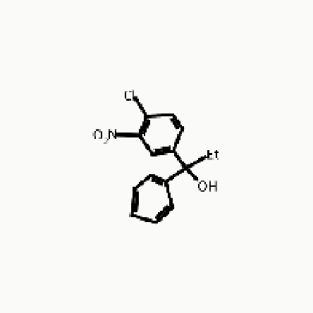 CCC(O)(c1ccccc1)c1ccc(Cl)c([N+](=O)[O-])c1